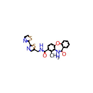 Cc1c(C(=O)NCc2cnc(-c3nccs3)s2)ccc2c1NC(=O)c1ccccc1O2